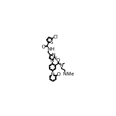 CNCCN(C)C(=O)c1cc(-n2ccccc2=O)ccc1-n1cc(CNC(=O)c2ccc(Cl)s2)nn1